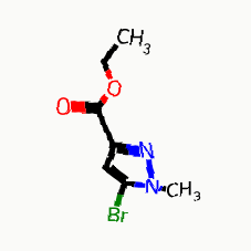 CCOC(=O)c1cc(Br)n(C)n1